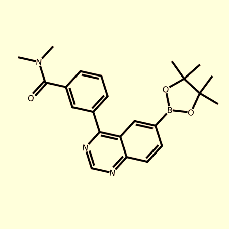 CN(C)C(=O)c1cccc(-c2ncnc3ccc(B4OC(C)(C)C(C)(C)O4)cc23)c1